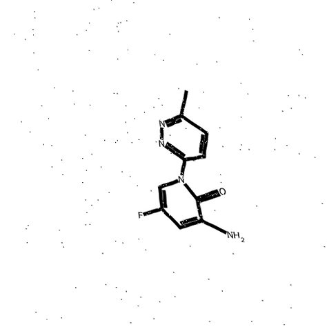 Cc1ccc(-n2cc(F)cc(N)c2=O)nn1